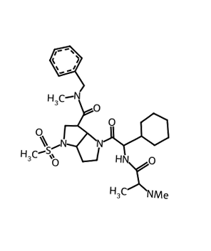 CNC(C)C(=O)NC(C(=O)N1CCC2C1C(C(=O)N(C)Cc1ccccc1)CN2S(C)(=O)=O)C1CCCCC1